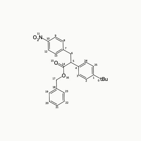 CC(C)(C)c1ccc(C(Cc2ccc([N+](=O)[O-])cc2)C(=O)OCc2ccccc2)cc1